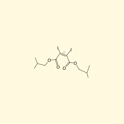 CC(C)COC(=O)/C(I)=C(/I)C(=O)OCC(C)C